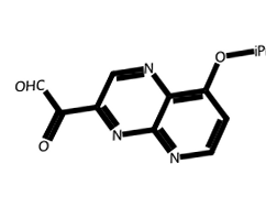 CC(C)Oc1ccnc2nc(C(=O)C=O)cnc12